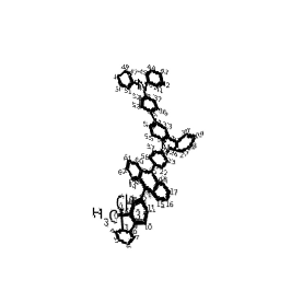 CC1(C)c2ccccc2-c2ccc(-c3c4ccccc4c(-c4ccc(-n5c6ccccc6c6cc(-c7ccc(N(c8ccccc8)c8ccccc8)cc7)ccc65)cc4)c4ccccc34)cc21